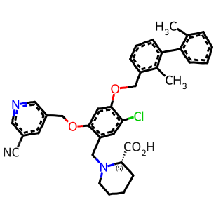 Cc1ccccc1-c1cccc(COc2cc(OCc3cncc(C#N)c3)c(CN3CCCC[C@H]3C(=O)O)cc2Cl)c1C